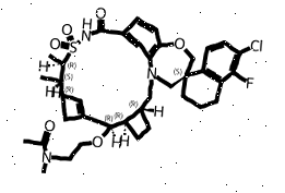 CC(=O)N(C)CCO[C@H]1C2=C[C@@H](C2)[C@H](C)[C@@H](C)S(=O)(=O)NC(=O)c2ccc3c(c2)N(C[C@@H]2CC[C@H]21)C[C@@]1(CCCc2c1ccc(Cl)c2F)CO3